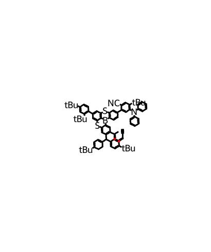 C#C/C=C\C=C(/C)c1cc2c(cc1C(C1=CC=C(C(C)(C)C)CC1)c1ccc(C(C)(C)C)cc1)Sc1cc(-c3ccc(C(C)(C)C)cc3C(C)(C)C)cc3c1B2c1ccc(-c2cc(N(c4ccccc4)c4ccccc4)c(C(C)(C)C)cc2C#N)cc1S3